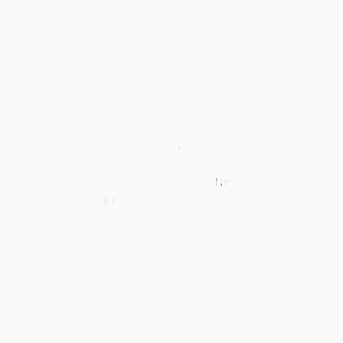 CCOc1ccc(C(=O)c2c[nH]c3ccccc23)cc1